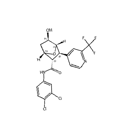 O=C(Nc1ccc(Cl)c(Cl)c1)[C@H]1[C@H](c2ccnc(C(F)(F)F)c2)[C@@H]2O[C@H]1C[C@H]2O